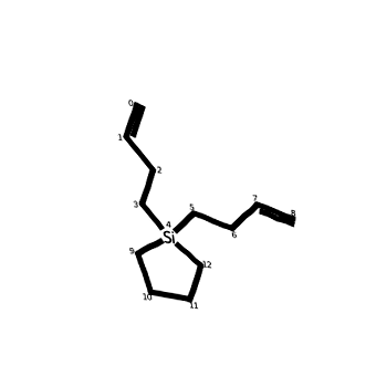 C=CCC[Si]1(CCC=C)CCCC1